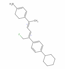 BC1=CC=C(/C(C)=C/C=C(\CF)c2ccc(C3CCCCC3)cc2)CC1